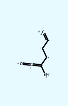 C=CC[CH]C(=C=O)CCC